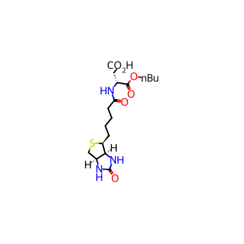 CCCCOC(=O)[C@@H](CC(=O)O)NC(=O)CCCC[C@@H]1SC[C@@H]2NC(=O)N[C@@H]21